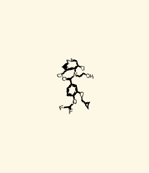 O=C(c1ccc(OC(F)F)c(OCC2CC2)c1)N(CCO)c1c(Cl)cncc1Cl